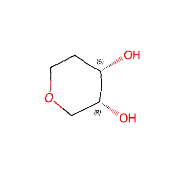 O[C@@H]1COCC[C@@H]1O